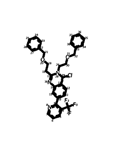 FC(F)(F)c1cccnc1-c1ccc2c(c1)N=C(CCOCc1ccccc1)N(CCOCc1ccccc1)C2Cl